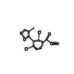 COC(=O)c1ccc(Cl)c(-c2oncc2C)c1Cl